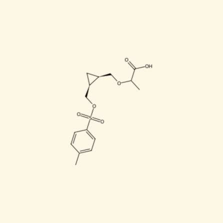 Cc1ccc(S(=O)(=O)OC[C@H]2C[C@H]2COC(C)C(=O)O)cc1